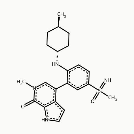 Cn1cc(-c2cc(S(C)(=N)=O)ccc2N[C@H]2CC[C@H](C)CC2)c2cc[nH]c2c1=O